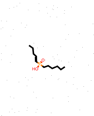 CCCC=CP(=O)(O)CCCCCC